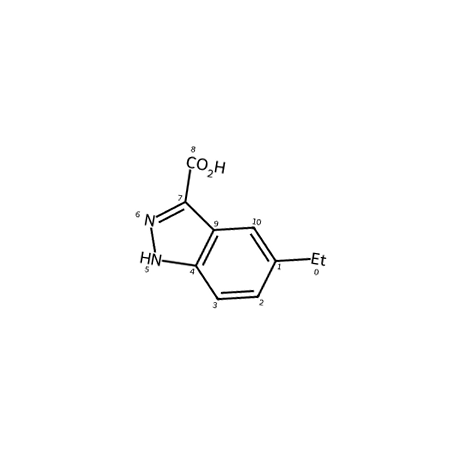 CCc1ccc2[nH]nc(C(=O)O)c2c1